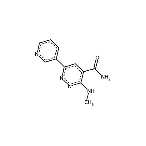 CNc1nnc(-c2cccnc2)cc1C(N)=O